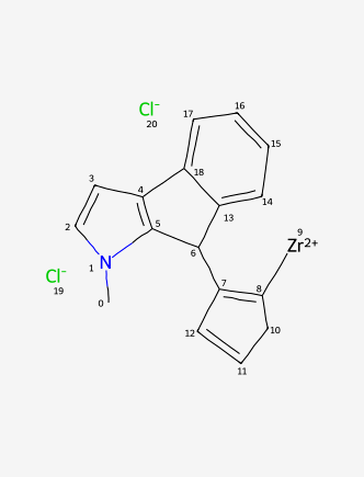 Cn1ccc2c1C(C1=[C]([Zr+2])CC=C1)c1ccccc1-2.[Cl-].[Cl-]